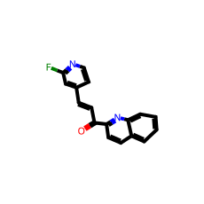 O=C(C=Cc1ccnc(F)c1)c1ccc2ccccc2n1